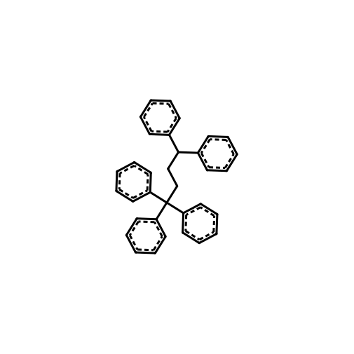 c1ccc(C(CCC(c2ccccc2)(c2ccccc2)c2ccccc2)c2ccccc2)cc1